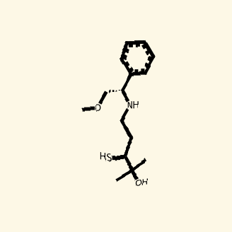 COC[C@@H](NCCC(S)C(C)(C)O)c1ccccc1